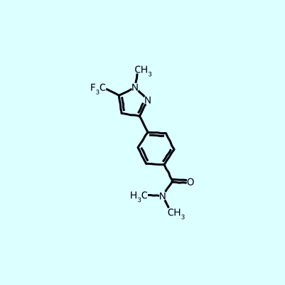 CN(C)C(=O)c1ccc(-c2cc(C(F)(F)F)n(C)n2)cc1